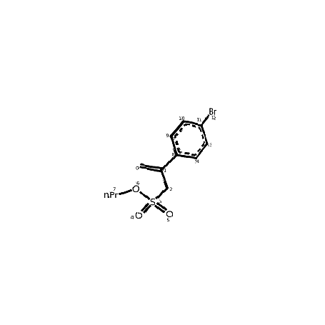 C=C(CS(=O)(=O)OCCC)c1ccc(Br)cc1